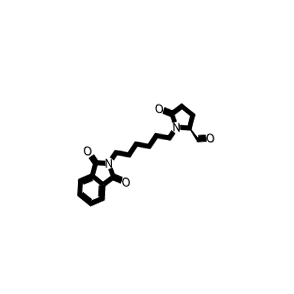 O=C[C@@H]1CCC(=O)N1CCCCCCN1C(=O)c2ccccc2C1=O